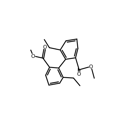 CCc1cccc(C(=O)OC)c1-c1c(CC)cccc1C(=O)OC